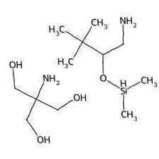 C[SiH](C)OC(CN)C(C)(C)C.NC(CO)(CO)CO